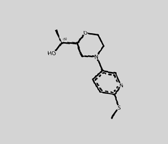 CSc1ccc(N2CCOC([C@H](C)O)C2)cn1